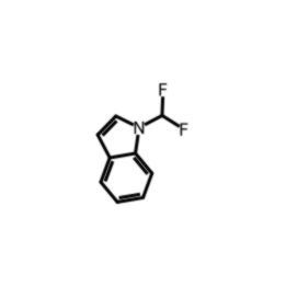 FC(F)n1ccc2ccccc21